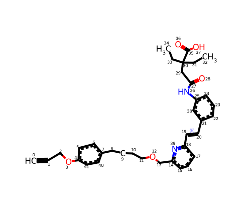 C#CCOc1ccc(CCCCOCc2cccc(/C=C/c3cccc(NC(=O)CC(CC)(CC)C(=O)O)c3)n2)cc1